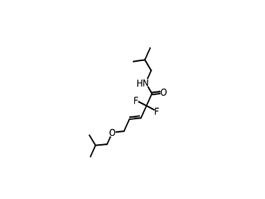 CC(C)CNC(=O)C(F)(F)/C=C/COCC(C)C